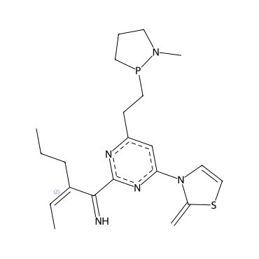 C=C1SC=CN1c1cc(CCP2CCCN2C)nc(C(=N)/C(=C\C)CCC)n1